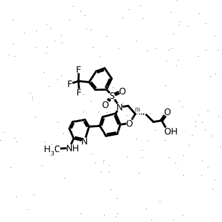 CNc1cccc(-c2ccc3c(c2)N(S(=O)(=O)c2cccc(C(F)(F)F)c2)C[C@H](CCC(=O)O)O3)n1